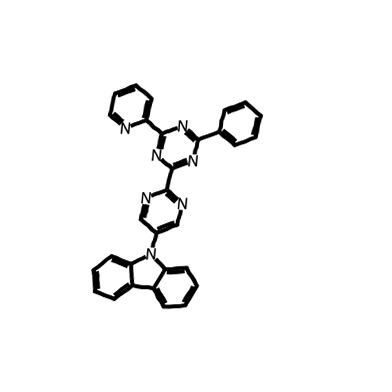 c1ccc(-c2nc(-c3ccccn3)nc(-c3ncc(-n4c5ccccc5c5ccccc54)cn3)n2)cc1